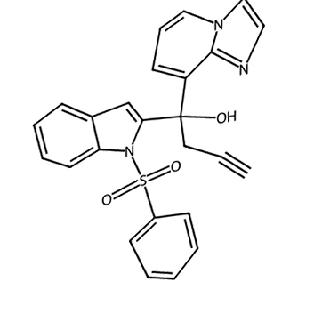 C#CCC(O)(c1cccn2ccnc12)c1cc2ccccc2n1S(=O)(=O)c1ccccc1